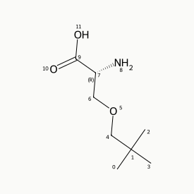 CC(C)(C)COC[C@@H](N)C(=O)O